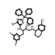 CCc1ccc2c(c1)C(NCC(O)C(Cc1cc(F)cc(F)c1)Nc1nn(C(c3ccccc3)(c3ccccc3)c3ccccc3)nc1Br)CCC2